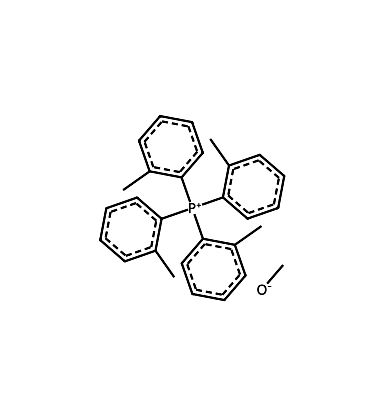 C[O-].Cc1ccccc1[P+](c1ccccc1C)(c1ccccc1C)c1ccccc1C